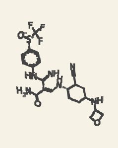 N#CC1CC(NC2COC2)CC[C@@H]1N/C=C(\C(=N)Nc1ccc([S+]([O-])C(F)(F)F)cc1)C(N)=O